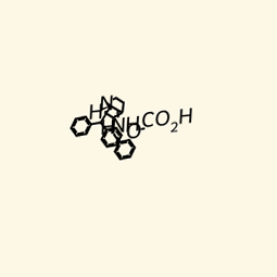 O=C(O)COc1ccccc1CN[C@@H]1C2CCN(CC2)[C@H]1C(c1ccccc1)c1ccccc1